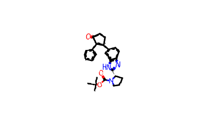 CC(C)(C)OC(=O)N1CCC[C@H]1c1nc2ccc(C3=C(c4ccccc4)C(=O)CC3)cc2[nH]1